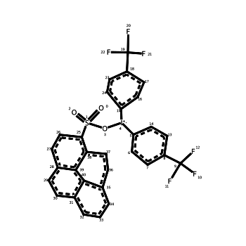 O=S(=O)(O[I+](c1ccc(C(F)(F)F)cc1)c1ccc(C(F)(F)F)cc1)c1ccc2ccc3cccc4ccc1c2c34